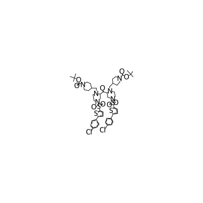 CC(C)(C)OC(=O)N1CCC(CN2CCN(S(=O)(=O)c3ccc(-c4ccc(Cl)cc4)s3)CC2C(=O)C2CN(S(=O)(=O)c3ccc(-c4ccc(Cl)cc4)s3)CCN2CC2CCN(C(=O)OC(C)(C)C)CC2)CC1